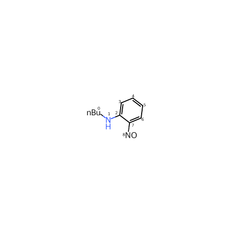 CCCCNc1ccccc1N=O